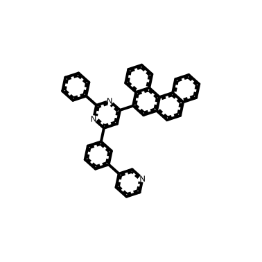 c1ccc(-c2nc(-c3cccc(-c4cccnc4)c3)cc(-c3cc4ccc5ccccc5c4c4ccccc34)n2)cc1